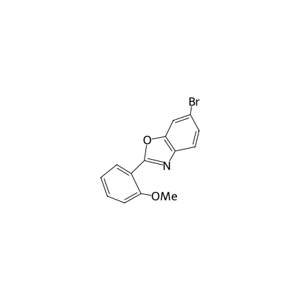 COc1ccccc1-c1nc2ccc(Br)cc2o1